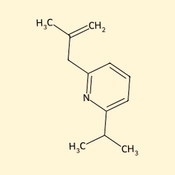 C=C(C)Cc1cccc(C(C)C)n1